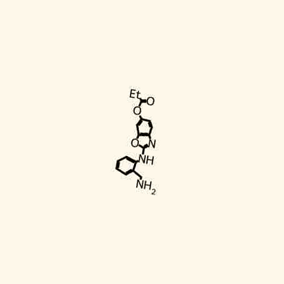 CCC(=O)Oc1ccc2nc(Nc3ccccc3CN)oc2c1